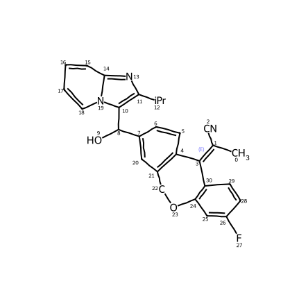 C/C(C#N)=C1/c2ccc(C(O)c3c(C(C)C)nc4ccccn34)cc2COc2cc(F)ccc21